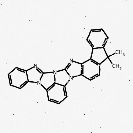 CC1(C)c2ccccc2-c2c1ccc1c2nc2n1c1cccc3c1n2c1nc2ccccc2n31